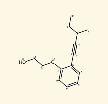 CCC(C)C#Cc1ccccc1OCCO